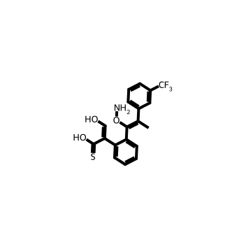 CC(=C(ON)c1ccccc1C(=CO)C(O)=S)c1cccc(C(F)(F)F)c1